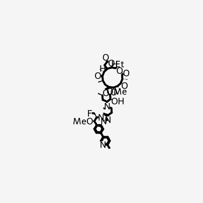 CC[C@H]1OC(=O)[C@H](C)C(=O)[C@H](C)[C@@H](O[C@@H]2O[C@H](C)C[C@H](N(C)CCc3cn([C@H](CF)[C@H](OC)c4ccc(-c5ccc(C)nc5)cc4)nn3)[C@H]2O)[C@](C)(OC)C[C@@H](C)C(=O)[C@H](C)[C@H]2CC(=O)O[C@@H]21